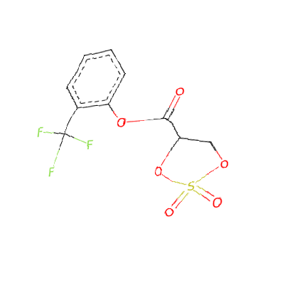 O=C(Oc1ccccc1C(F)(F)F)C1COS(=O)(=O)O1